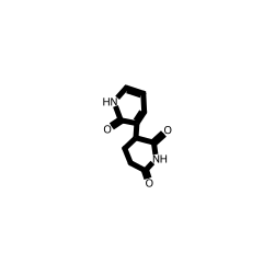 O=C1CCC(c2ccc[nH]c2=O)C(=O)N1